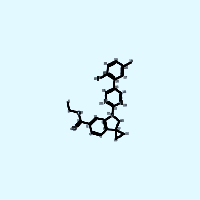 CCOC(=O)c1ccc2c(c1)N(c1ncc(-c3cc(C)ccc3F)cn1)CC21CC1